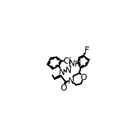 C/C=C(/C(=O)N1CCOC(c2ccc(F)cc2)C1)N(N=N)c1ccccc1Cl